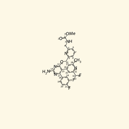 COC(=O)NCc1cccc(COc2nc(N)nc(-c3ccc(F)cc3)c2-c2cc(C)nc(C(F)F)c2)n1